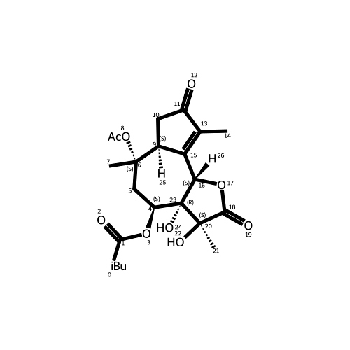 CCC(C)C(=O)O[C@H]1C[C@](C)(OC(C)=O)[C@H]2CC(=O)C(C)=C2[C@@H]2OC(=O)[C@@](C)(O)[C@@]12O